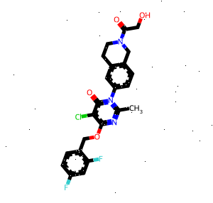 Cc1nc(OCc2ccc(F)cc2F)c(Cl)c(=O)n1-c1ccc2c(c1)CCN(C(=O)CO)C2